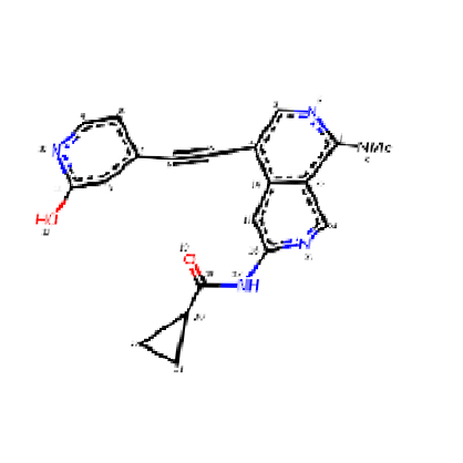 CNc1ncc(C#Cc2ccnc(O)c2)c2cc(NC(=O)C3CC3)ncc12